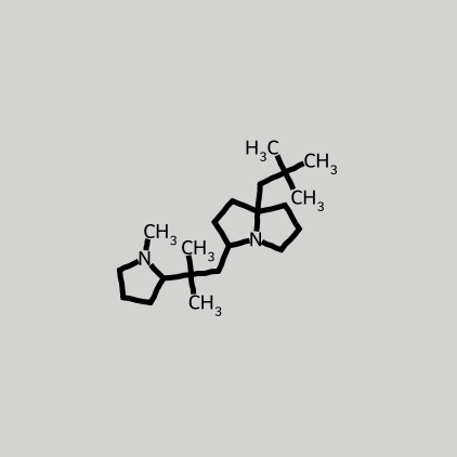 CN1CCCC1C(C)(C)CC1CCC2(CC(C)(C)C)CCCN12